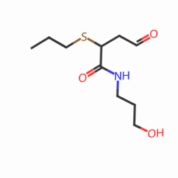 CCCSC(CC=O)C(=O)NCCCO